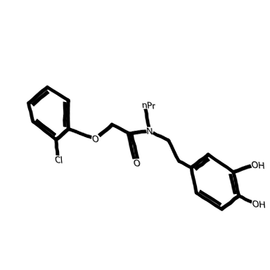 CCCN(CCc1ccc(O)c(O)c1)C(=O)COc1ccccc1Cl